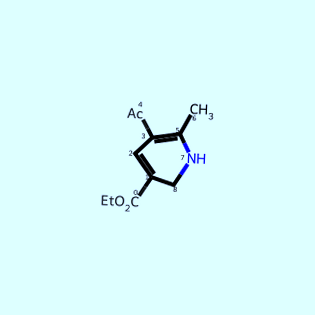 CCOC(=O)C1=CC(C(C)=O)=C(C)NC1